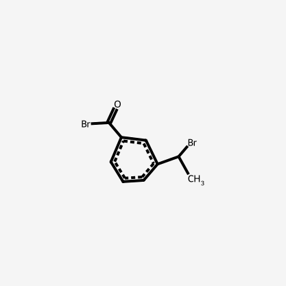 CC(Br)c1cccc(C(=O)Br)c1